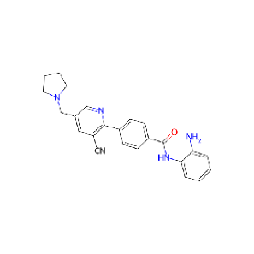 N#Cc1cc(CN2CCCC2)cnc1-c1ccc(C(=O)Nc2ccccc2N)cc1